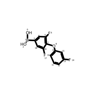 OB(O)c1cc(F)c(Oc2cccc(F)c2)c(F)c1